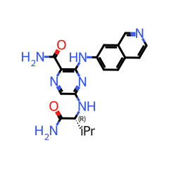 CC(C)[C@@H](Nc1cnc(C(N)=O)c(Nc2ccc3ccncc3c2)n1)C(N)=O